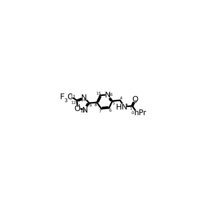 CCCC(=O)NCc1ccc(-c2noc(C(F)(F)F)n2)cn1